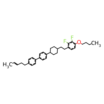 C/C=C/CCc1ccc(-c2ccc(C3CCC(CCc4ccc(OCCCC)c(F)c4F)CC3)cc2)cc1